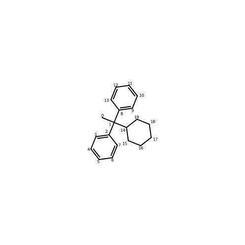 CC(c1ccccc1)(c1ccccc1)C1CCCCC1